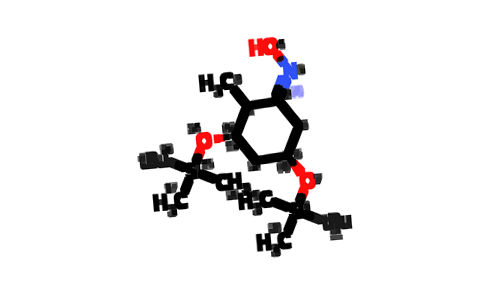 CC1/C(=N\O)C[C@@H](O[Si](C)(C)C(C)(C)C)C[C@@H]1O[Si](C)(C)C(C)(C)C